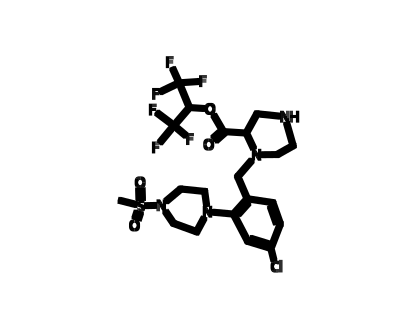 CS(=O)(=O)N1CCN(c2cc(Cl)ccc2CN2CCNCC2C(=O)OC(C(F)(F)F)C(F)(F)F)CC1